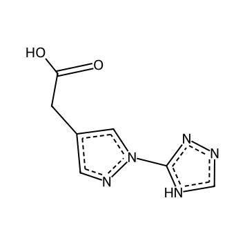 O=C(O)Cc1cnn(-c2nnc[nH]2)c1